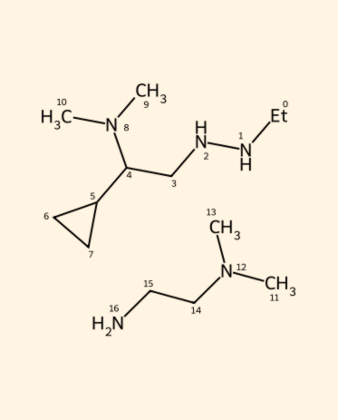 CCNNCC(C1CC1)N(C)C.CN(C)CCN